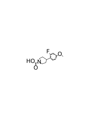 COc1ccc(C2CCN(C(=O)O)CC2)c(F)c1